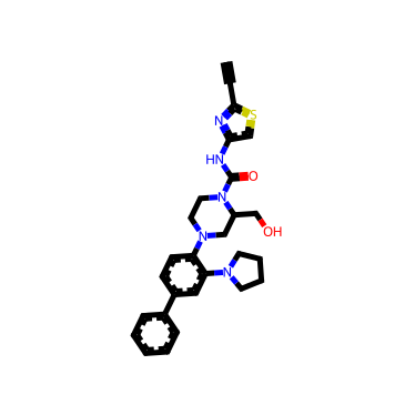 C#Cc1nc(NC(=O)N2CCN(c3ccc(-c4ccccc4)cc3N3CCCC3)CC2CO)cs1